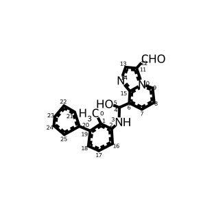 Cc1c(NC(O)c2cccn3c(C=O)cnc23)cccc1-c1ccccc1